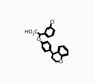 O=C(O)C(Oc1ccc(C2CCOc3ccccc32)cc1)c1cccc(Cl)c1